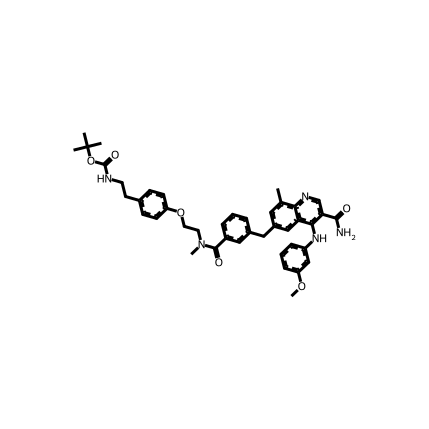 COc1cccc(Nc2c(C(N)=O)cnc3c(C)cc(Cc4cccc(C(=O)N(C)CCOc5ccc(CCNC(=O)OC(C)(C)C)cc5)c4)cc23)c1